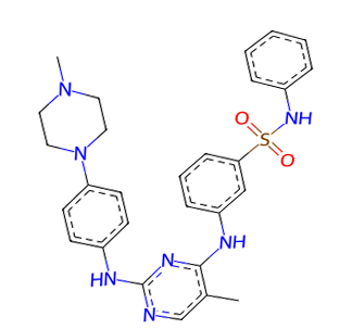 Cc1cnc(Nc2ccc(N3CCN(C)CC3)cc2)nc1Nc1cccc(S(=O)(=O)Nc2ccccc2)c1